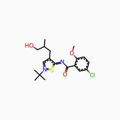 COc1ccc(Cl)cc1C(=O)N=c1sn(C(C)(C)C)cc1CC(C)CO